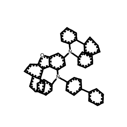 c1ccc(-c2ccc(N(c3ccccc3)c3cc(N(c4ccccc4)c4ccccc4-c4ccccc4)cc4oc5ccc6ccccc6c5c34)cc2)cc1